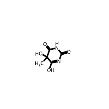 CC1(O)C(=O)NC(=O)N=C1O